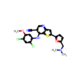 COc1cc(Nc2c(C#N)cnc3cc(-c4ccc(CN(C)C)o4)sc23)c(Cl)cc1Cl